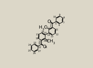 Cc1c(C(=O)c2ccccc2)cccc1-c1cccc(C(=O)c2ccccc2)c1C